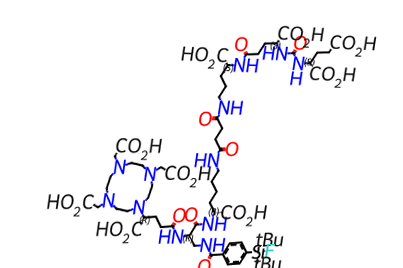 CC(C)(C)[Si](F)(c1ccc(C(=O)NC[C@@H](NC(=O)CC[C@H](C(=O)O)N2CCN(CC(=O)O)CCN(CC(=O)O)CCN(CC(=O)O)CC2)C(=O)N[C@H](CCCCNC(=O)CCC(=O)NCCC[C@H](NC(=O)CC[C@H](NC(=O)N[C@@H](CCC(=O)O)C(=O)O)C(=O)O)C(=O)O)C(=O)O)cc1)C(C)(C)C